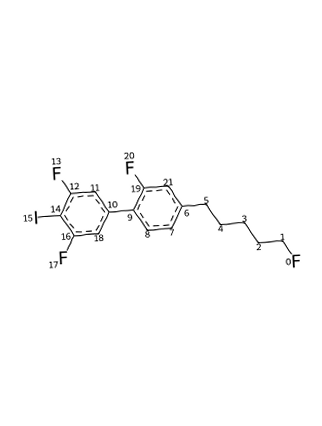 FCCCCCc1ccc(-c2cc(F)c(I)c(F)c2)c(F)c1